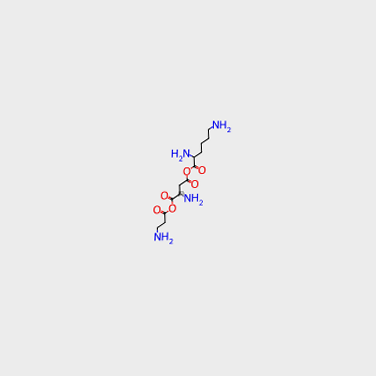 NCCCCC(N)C(=O)OC(=O)C[C@H](N)C(=O)OC(=O)CCN